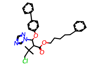 CC(C)(CCl)C(C(=O)OCCCCCc1ccccc1)C(Oc1ccc(-c2ccccc2)cc1)n1cncn1